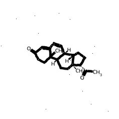 CC(=O)[C@H]1CC[C@H]2[C@@H]3C=CC4=CC(=O)CCC4(C)[C@@H]3CC[C@]12C